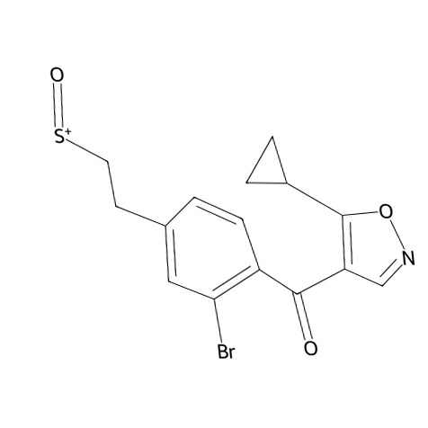 O=[S+]CCc1ccc(C(=O)c2cnoc2C2CC2)c(Br)c1